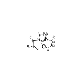 CC(C)C(C)c1cnn2c1OCCC2C